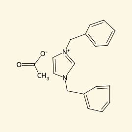 CC(=O)[O-].c1ccc(Cn2cc[n+](Cc3ccccc3)c2)cc1